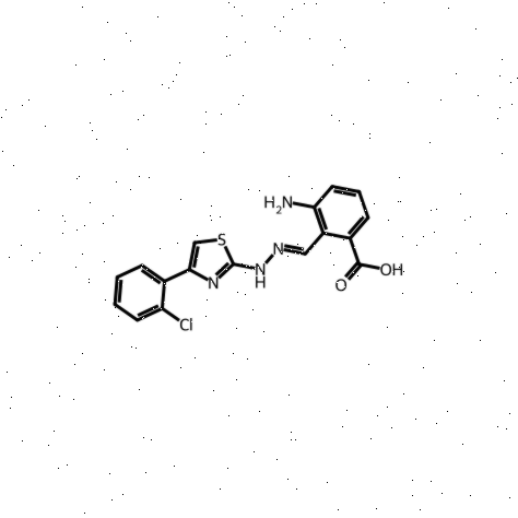 Nc1cccc(C(=O)O)c1C=NNc1nc(-c2ccccc2Cl)cs1